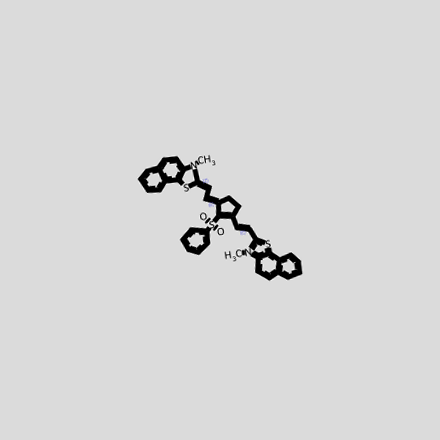 CN1/C(=C/C=C2\CCC(/C=C/c3sc4c5ccccc5ccc4[n+]3C)=C2S(=O)(=O)c2ccccc2)Sc2c1ccc1ccccc21